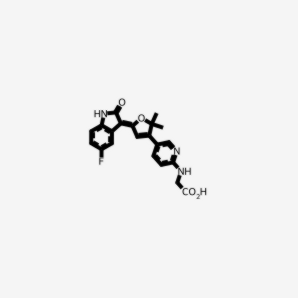 CC1(C)OC(=C2C(=O)Nc3ccc(F)cc32)C=C1c1ccc(NCC(=O)O)nc1